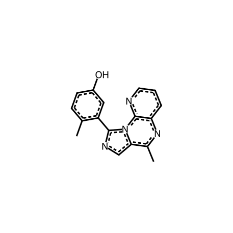 Cc1ccc(O)cc1-c1ncc2c(C)nc3cccnc3n12